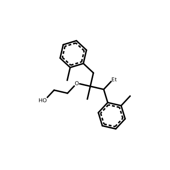 CCC(c1ccccc1C)C(C)(Cc1ccccc1C)OCCO